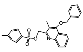 Cc1ccc(S(=O)(=O)OCc2nc3ccccc3c(OCc3ccccc3)c2C)cc1